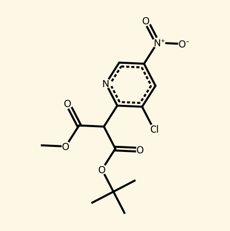 COC(=O)C(C(=O)OC(C)(C)C)c1ncc([N+](=O)[O-])cc1Cl